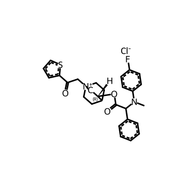 CN(c1ccc(F)cc1)C(C(=O)O[C@H]1C[N+]2(CC(=O)c3cccs3)CCC1CC2)c1ccccc1.[Cl-]